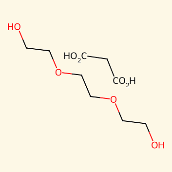 O=C(O)CC(=O)O.OCCOCCOCCO